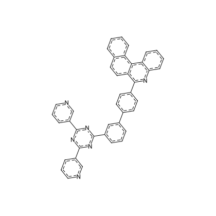 c1cncc(-c2nc(-c3cccnc3)nc(-c3cccc(-c4ccc(-c5nc6ccccc6c6c5ccc5ccccc56)cc4)c3)n2)c1